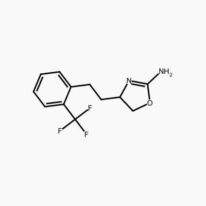 NC1=NC(CCc2ccccc2C(F)(F)F)CO1